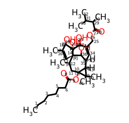 CCCCCCCC(=O)O[C@@]12C[C@@H](C)[C@]34C=C(C)[C@H](O)[C@@]3(O)[C@H](O)C(COC(=O)C(C)C(C)C)=C[C@H](C4O)[C@@H]1C2(C)C